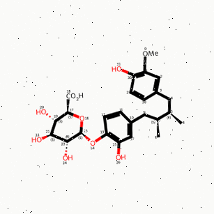 COc1cc(C[C@@H](C)[C@@H](C)Cc2ccc(O[C@@H]3O[C@H](C(=O)O)[C@@H](O)[C@H](O)[C@H]3O)c(O)c2)ccc1O